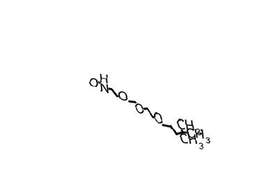 CC(C)(C)CCCOCCOCCOCCNC=O